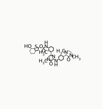 Cc1c(NC(=O)Oc2cc3c(s2)C(O)CCC3)cccc1-c1cn(C)c(=O)c(Nc2ccc(C3C(=O)N(C)CCN3C)cc2)n1